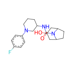 O=C(NC1CCCN(c2ccc(F)cc2)C1)N1C2CCC1CC(O)C2